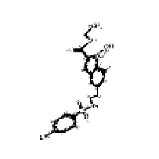 CCOC(=O)c1cc2cc(CCNS(=O)(=O)c3ccc(Cl)cc3)ccc2n1O